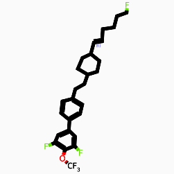 FCCCC/C=C/C1CCC(CCc2ccc(-c3cc(F)c(OC(F)(F)F)c(F)c3)cc2)CC1